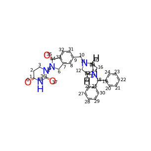 O=C1CCN(N2Cc3cc(CN4C[C@@H]5C[C@H]4CN5C(c4ccccc4)c4ccccc4)ccc3C2=O)C(=O)N1